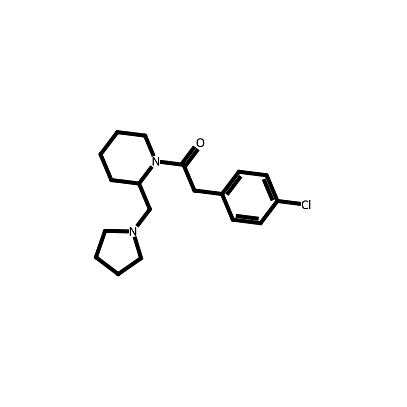 O=C(Cc1ccc(Cl)cc1)N1CCCCC1CN1CCCC1